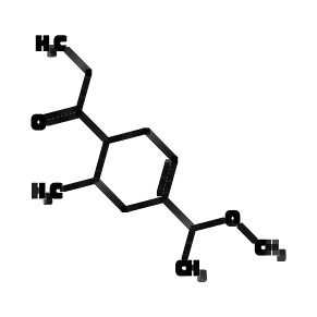 CCC(=O)C1CC=C(C(C)OC)CC1C